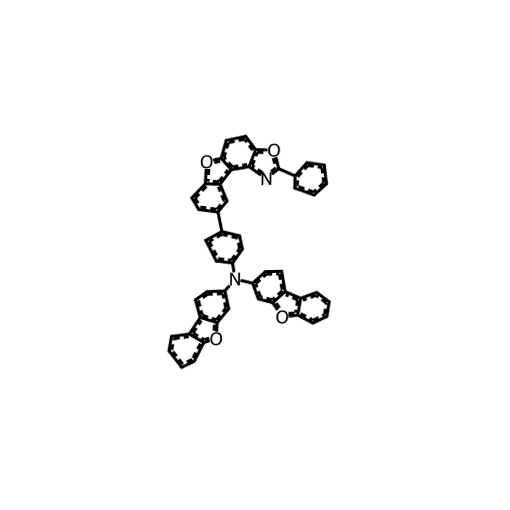 c1ccc(-c2nc3c(ccc4oc5ccc(-c6ccc(N(c7ccc8c(c7)oc7ccccc78)c7ccc8c(c7)oc7ccccc78)cc6)cc5c43)o2)cc1